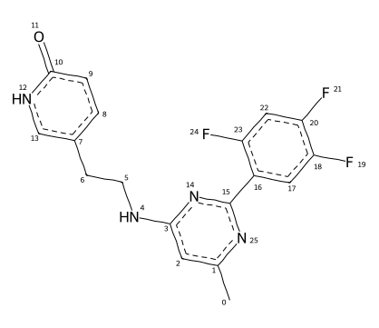 Cc1cc(NCCc2ccc(=O)[nH]c2)nc(-c2cc(F)c(F)cc2F)n1